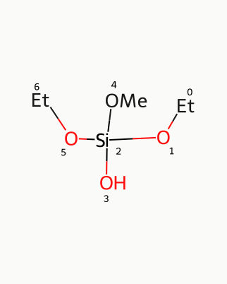 CCO[Si](O)(OC)OCC